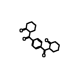 O=C1CCCCC1C(=O)c1ccc(C(=O)C2CCCCC2=O)cc1